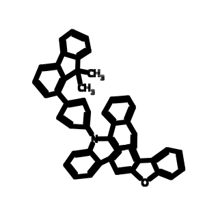 CC1(C)c2ccccc2-c2cccc(-c3ccc(N(c4ccccc4-c4ccc5c(c4)oc4ccccc45)c4cccc5ccccc45)cc3)c21